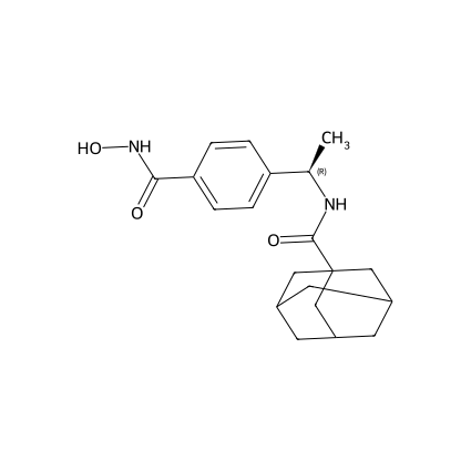 C[C@@H](NC(=O)C12CC3CC(CC(C3)C1)C2)c1ccc(C(=O)NO)cc1